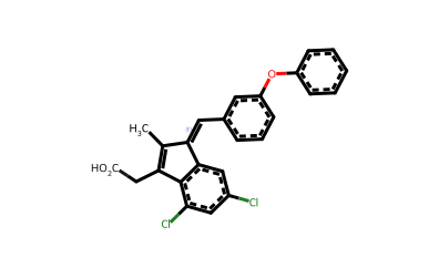 CC1=C(CC(=O)O)c2c(Cl)cc(Cl)cc2/C1=C\c1cccc(Oc2ccccc2)c1